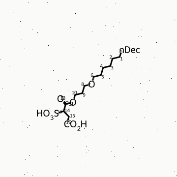 CCCCCCCCCCCCCCCCOCCCOC(=O)C(CC(=O)O)S(=O)(=O)O